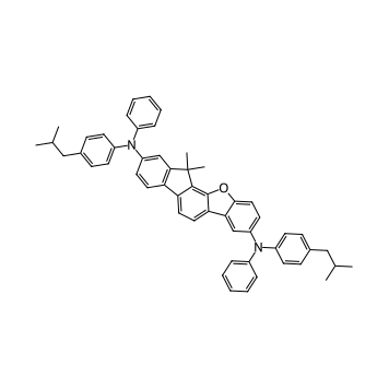 CC(C)Cc1ccc(N(c2ccccc2)c2ccc3c(c2)C(C)(C)c2c-3ccc3c2oc2ccc(N(c4ccccc4)c4ccc(CC(C)C)cc4)cc23)cc1